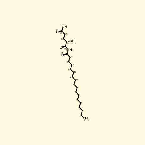 CCCCCCCCCCCCCCCCCC(=O)NC(=O)[C@@H](N)CCC(=O)O